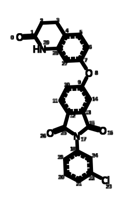 O=C1CCc2ccc(Oc3ccc4c(c3)C(=O)N(c3cccc(Cl)c3)C4=O)cc2N1